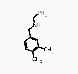 Cc1ccc(CNCP)cc1C